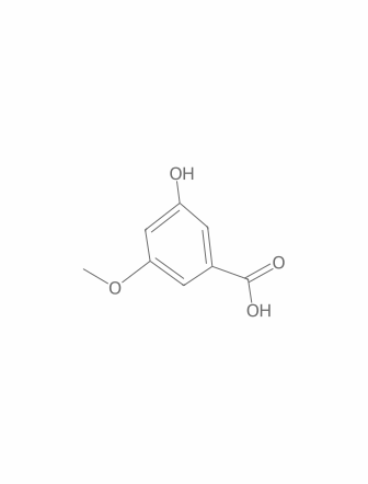 COc1cc(O)cc(C(=O)O)c1